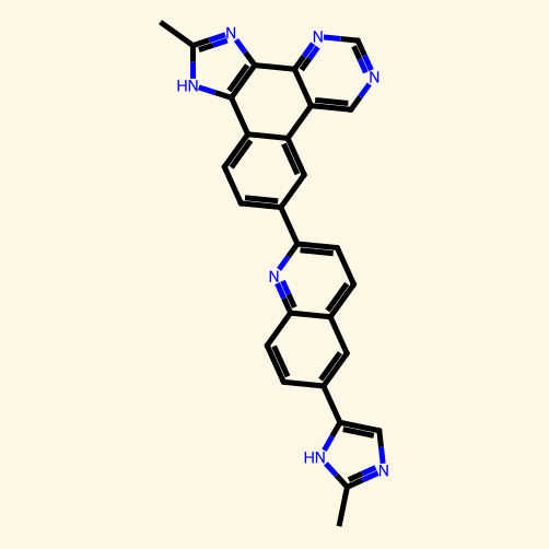 Cc1ncc(-c2ccc3nc(-c4ccc5c(c4)c4cncnc4c4nc(C)[nH]c54)ccc3c2)[nH]1